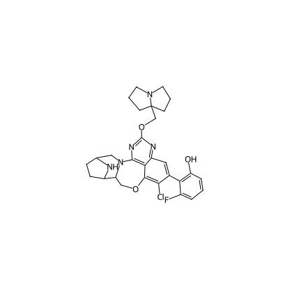 Oc1cccc(F)c1-c1cc2nc(OCC34CCCN3CCC4)nc3c2c(c1Cl)OCC1C2CCC(CN31)N2